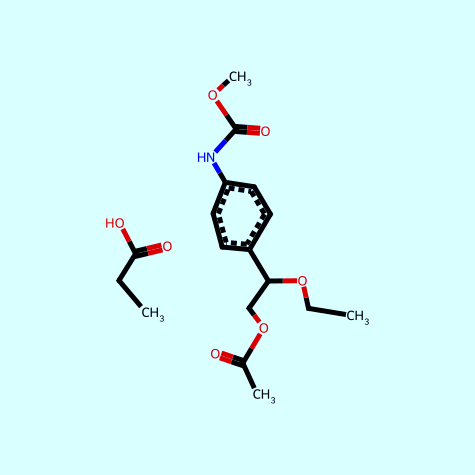 CCC(=O)O.CCOC(COC(C)=O)c1ccc(NC(=O)OC)cc1